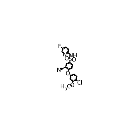 COc1cc(Oc2ccc(S(=O)(=O)Nc3ccc(F)cn3)cc2C#N)ccc1Cl